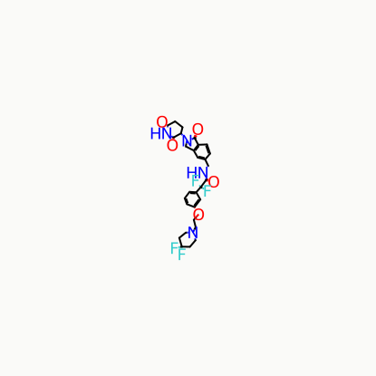 O=C1CCC(N2Cc3cc(CNC(=O)C(F)(F)c4cccc(OCCN5CCC(F)(F)CC5)c4)ccc3C2=O)C(=O)N1